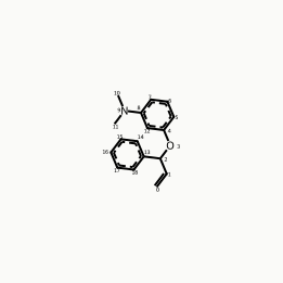 C=CC(Oc1cccc(N(C)C)c1)c1ccccc1